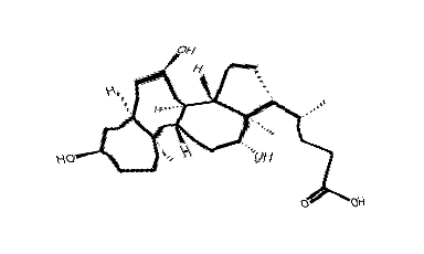 C[C@H](CCC(=O)O)[C@H]1CC[C@H]2[C@@H]3[C@H](O)C[C@@H]4C[C@H](O)CC[C@]4(C)[C@H]3C[C@@H](O)[C@]12C